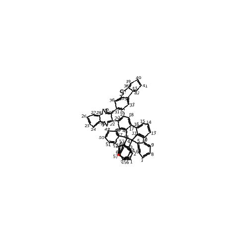 c1ccc(C2(c3ccccc3)c3ccccc3-c3ccc(-c4nc5ccccc5nc4-c4ccc5c(c4)sc4ccccc45)cc3C2(c2ccccc2)c2ccccc2)cc1